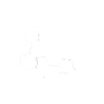 Cn1c(-c2cccc(C(F)(F)F)c2)cc2c(N3CCNCC3)nccc21